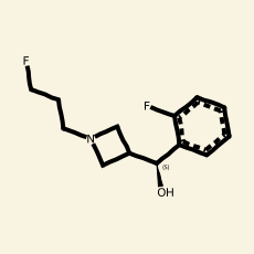 O[C@H](c1ccccc1F)C1CN(CCCF)C1